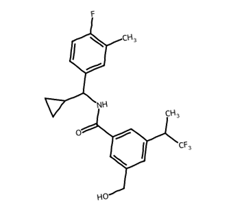 Cc1cc(C(NC(=O)c2cc(CO)cc(C(C)C(F)(F)F)c2)C2CC2)ccc1F